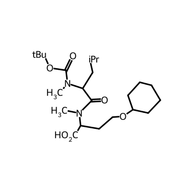 CC(C)CC(C(=O)N(C)C(CCOC1CCCCC1)C(=O)O)N(C)C(=O)OC(C)(C)C